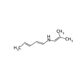 CC=CC=CNC=C(C)C